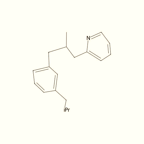 CC(C)Cc1cccc(CC(C)Cc2ccccn2)c1